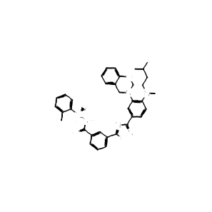 Cc1ccccc1S(=O)(=O)NC(=O)c1cccc(-c2nc(-c3ccc(N(C)CCC(C)C)c(N4COc5ccccc5C4)c3)no2)c1